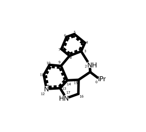 CC(C)C1Nc2ccccc2-c2ccnc3c2C1CN3